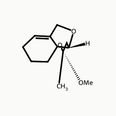 CO[C@@]1(C)C[C@@H]2OCC3=CCCCC32O1